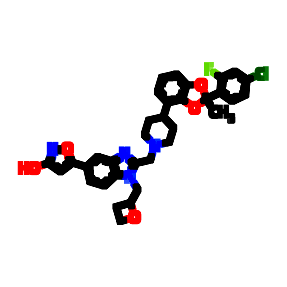 CC1(c2ccc(Cl)cc2F)Oc2cccc(C3CCN(Cc4nc5cc(-c6cc(O)no6)ccc5n4CC4CCO4)CC3)c2O1